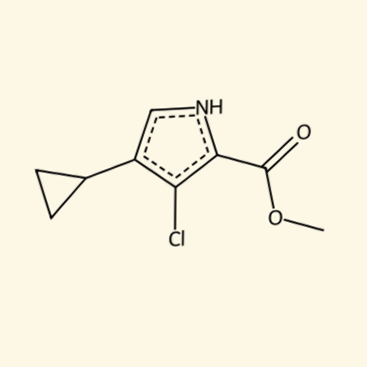 COC(=O)c1[nH]cc(C2CC2)c1Cl